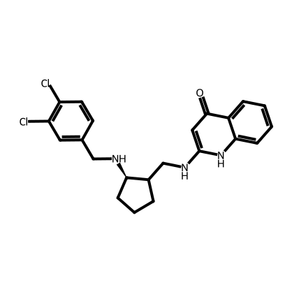 O=c1cc(NCC2CCC[C@H]2NCc2ccc(Cl)c(Cl)c2)[nH]c2ccccc12